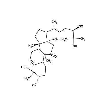 C[C@H](CC[C@@H](N=O)C(C)(C)O)C1CC[C@@]2(C)C3CC=C4C(CC[C@H](N=O)C4(C)C)[C@]3(C)C(=O)C[C@]12C